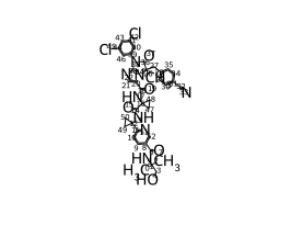 CC(C)(CO)NC(=O)c1ccc(C2(NC(=O)C3(NC(=O)c4cnc5n4[C@](C)(Cc4ccc(C#N)cc4)C(=O)N5c4cc(Cl)cc(Cl)c4)CC3)CC2)nc1